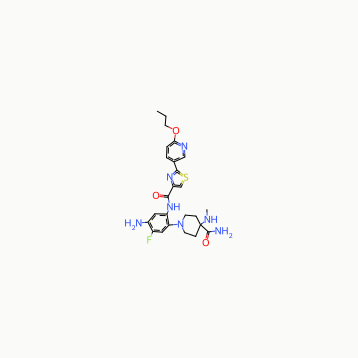 CCCOc1ccc(-c2nc(C(=O)Nc3cc(N)c(F)cc3N3CCC(NC)(C(N)=O)CC3)cs2)cn1